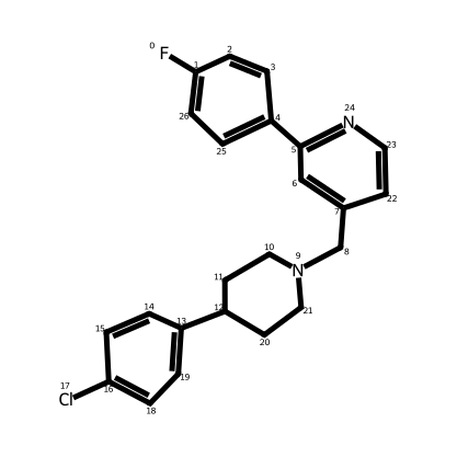 Fc1ccc(-c2cc(CN3CCC(c4ccc(Cl)cc4)CC3)ccn2)cc1